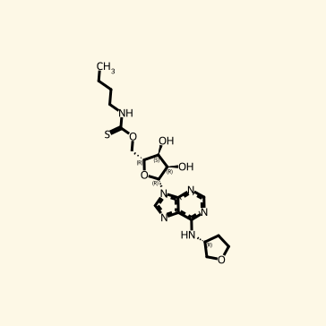 CCCCNC(=S)OC[C@H]1O[C@@H](n2cnc3c(N[C@@H]4CCOC4)ncnc32)[C@H](O)[C@@H]1O